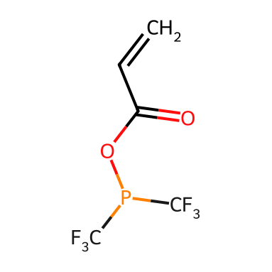 C=CC(=O)OP(C(F)(F)F)C(F)(F)F